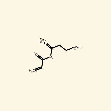 C=CC(=O)OC(=O)CCCCCCC.[Cu]